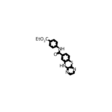 CCOC(=O)c1ccc(NC(=O)c2ccc3c(c2)Nc2nccnc2S3)cc1